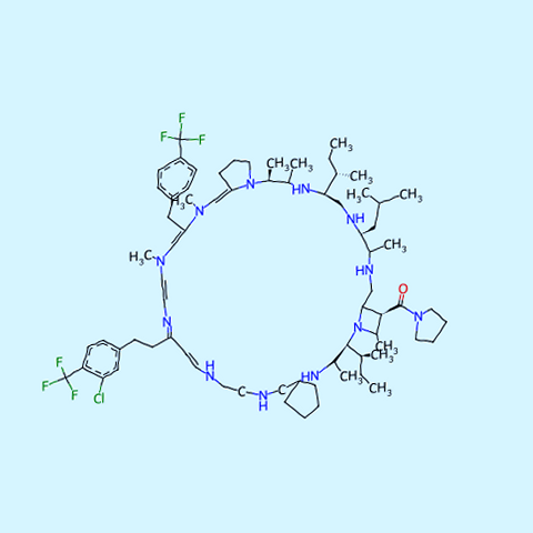 CC[C@H](C)[C@H]1C(C)NC2(CCCC2)CNCCNC=CC(CCc2ccc(C(F)(F)F)c(Cl)c2)=NC=CN(C)C=C(Cc2ccc(C(F)(F)F)cc2)N(C)C=C2CCCN2[C@@H](C)C(C)N[C@@H]([C@@H](C)CC)CN[C@@H](CC(C)C)C(C)NCC2[C@@H](C(=O)N3CCCC3)C(C)N21